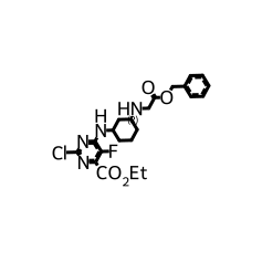 CCOC(=O)c1nc(Cl)nc(NC2CCC[C@@H](NCC(=O)OCc3ccccc3)C2)c1F